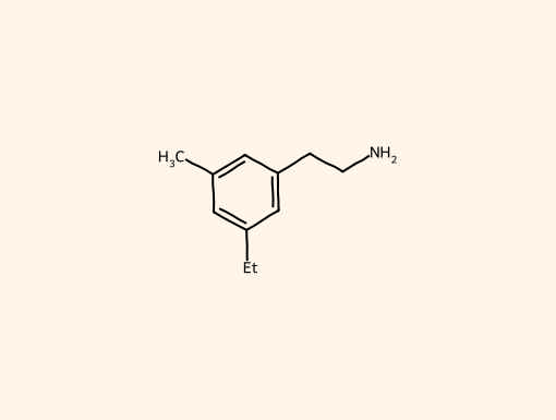 CCc1cc(C)cc(CCN)c1